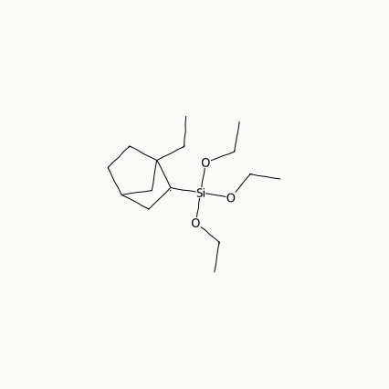 CCO[Si](OCC)(OCC)[C]1CC2CCC1(CC)C2